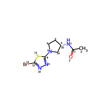 CC(=O)N[C@H]1CCN(c2nnc(Br)s2)C1